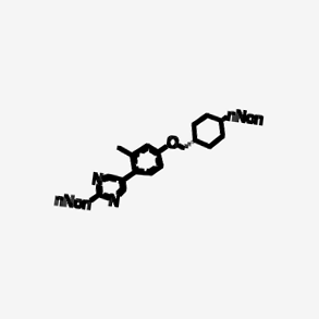 CCCCCCCCCc1ncc(-c2ccc(OC[C@H]3CC[C@H](CCCCCCCCC)CC3)cc2C)cn1